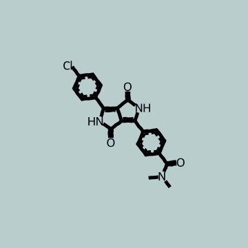 CN(C)C(=O)c1ccc(C2=C3C(=O)NC(c4ccc(Cl)cc4)=C3C(=O)N2)cc1